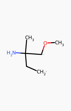 [CH2]CC(C)(N)[CH]OC